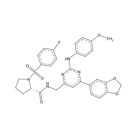 COc1ccc(Nc2nc(CNC(=O)[C@@H]3CCCN3S(=O)(=O)c3ccc(F)cc3)cc(-c3ccc4c(c3)OCO4)n2)cc1